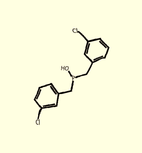 OP(Cc1cccc(Cl)c1)Cc1cccc(Cl)c1